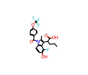 CCCC(C(=O)O)c1c(C)n(C(=O)c2ccc(OC(F)(F)F)cc2)c2ccc(O)c(F)c12